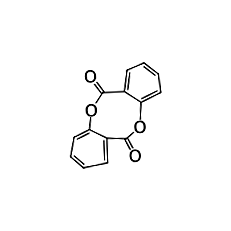 O=C1Oc2ccccc2C(=O)Oc2ccccc21